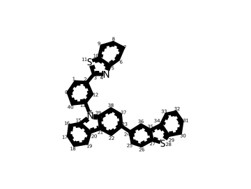 c1cc(-c2nc3ccccc3s2)cc(-n2c3ccccc3c3cc(-c4ccc5sc6ccccc6c5c4)ccc32)c1